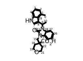 Cc1cccc2[nH]cc(C(C)n3c(=O)n(CC4(C(=O)O)CCOCC4)c4ccccc43)c12